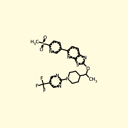 CC(Oc1nc2ccc(-c3ccc(S(C)(=O)=O)nc3)nc2s1)C1CCN(c2ncc(C(F)(F)F)cn2)CC1